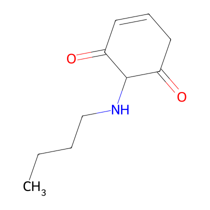 CCCCNC1C(=O)C=CCC1=O